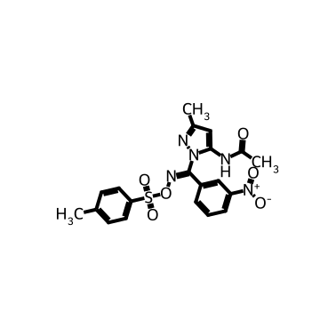 CC(=O)Nc1cc(C)nn1/C(=N/OS(=O)(=O)c1ccc(C)cc1)c1cccc([N+](=O)[O-])c1